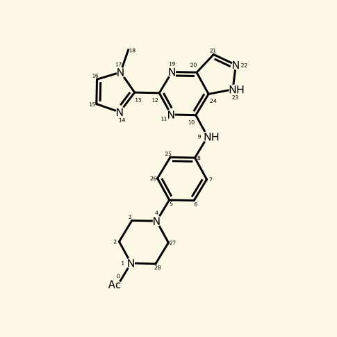 CC(=O)N1CCN(c2ccc(Nc3nc(-c4nccn4C)nc4cn[nH]c34)cc2)CC1